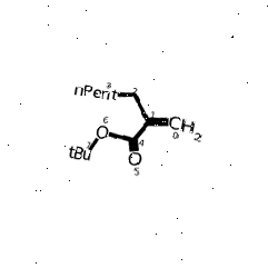 C=C(CCCCCC)C(=O)OC(C)(C)C